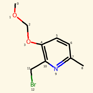 COCOc1ccc(C)nc1CBr